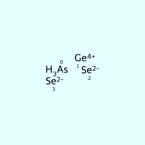 [AsH3].[Ge+4].[Se-2].[Se-2]